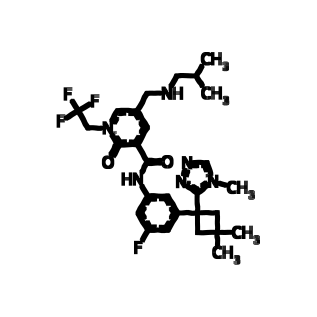 CC(C)CNCc1cc(C(=O)Nc2cc(F)cc(C3(c4nncn4C)CC(C)(C)C3)c2)c(=O)n(CC(F)(F)F)c1